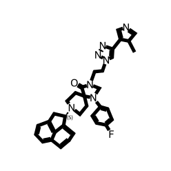 CC1C=NC=C1c1cn(CCN2CN(c3ccc(F)cc3)C3(CCN([C@H]4Cc5cccc6cccc4c56)CC3)C2=O)nn1